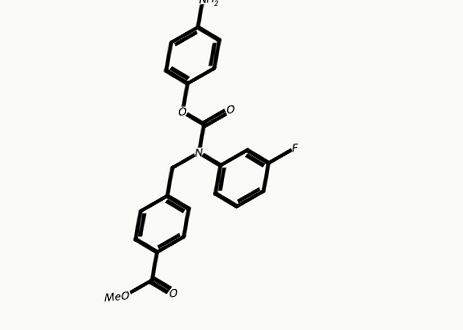 COC(=O)c1ccc(CN(C(=O)Oc2ccc(N)cc2)c2cccc(F)c2)cc1